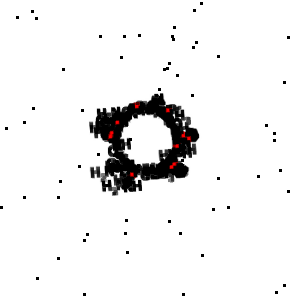 CCCC[C@H]1C(=O)N(C)[C@@H](CCCC)C(=O)N[C@@H](CCCNC(=N)N)C(=O)N[C@H](C(=O)NCC(N)=O)CSCC(=O)N[C@@H](Cc2ccc(NS(C)(=O)=O)cc2)C(=O)N(C)[C@@H](C)C(=O)N[C@@H](CC(N)=O)C(=O)N2CCC[C@H]2C(=O)N[C@@H](Cc2cnc[nH]2)C(=O)N[C@@H](CC(C)C)C(=O)N(C)CC(=O)N[C@@H](Cc2c[nH]c3ccccc23)C(=O)N[C@@H](CO)C(=O)N[C@@H](Cc2c[nH]c3ccccc23)C(=O)N1C